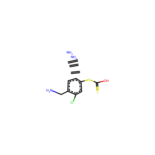 C=C.C=C.C=C.N.N.NCc1ccc(SC(O)=S)cc1Cl